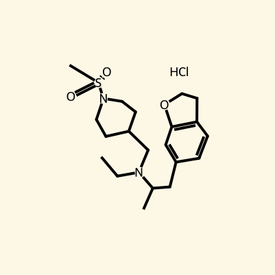 CCN(CC1CCN(S(C)(=O)=O)CC1)C(C)Cc1ccc2c(c1)OCC2.Cl